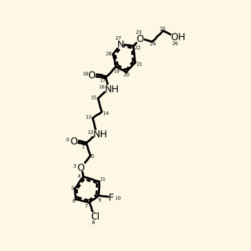 O=C(COc1ccc(Cl)c(F)c1)NCCCNC(=O)c1ccc(OCCO)nc1